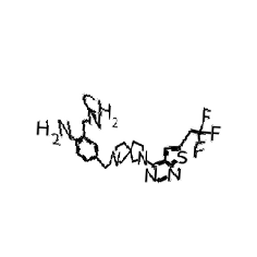 C=NCc1cc(CN2CCC3(CCN(c4ncnc5sc(CC(F)(F)F)cc45)C3)C2)ccc1N